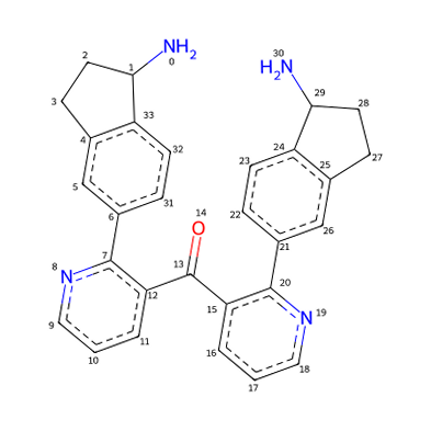 NC1CCc2cc(-c3ncccc3C(=O)c3cccnc3-c3ccc4c(c3)CCC4N)ccc21